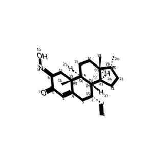 C=C[C@@H]1CC2=CC(=O)C(=NO)C[C@]2(C)[C@H]2CC[C@]3(C)[C@H](C)CC[C@H]3[C@H]12